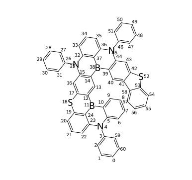 c1ccc(N2c3ccccc3B3c4cc5c(cc4Sc4cccc2c43)N(c2ccccc2)c2cccc3c2B5c2cc4c(cc2N3c2ccccc2)sc2ccccc24)cc1